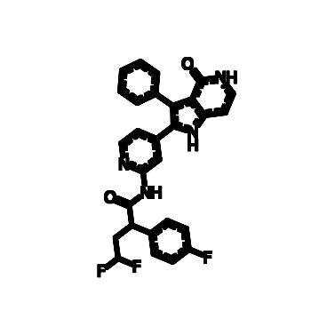 O=C(Nc1cc(-c2[nH]c3cc[nH]c(=O)c3c2-c2ccccc2)ccn1)C(CC(F)F)c1ccc(F)cc1